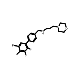 Cc1c(F)cc(-c2ccc(CNCCCN3CCOCC3)cc2)c(F)c1F